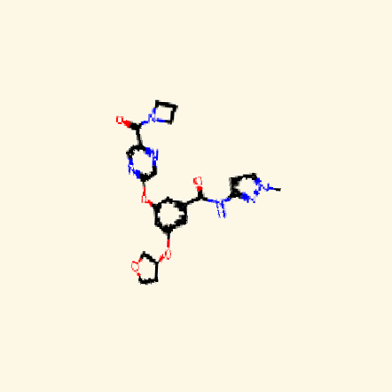 Cn1ccc(NC(=O)c2cc(Oc3cnc(C(=O)N4CCC4)cn3)cc(O[C@H]3CCOC3)c2)n1